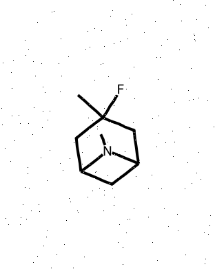 CN1C2CC1CC(C)(F)C2